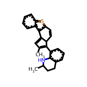 CC1=C(c2cccc3c2NC(C)CC3)C2C=Cc3sc4ccccc4c3C2=C1